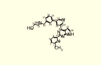 Cc1cccc(-c2nc(-c3cncc(-c4cccc(CNCCO)c4)c3)c3cc[nH]c3n2)n1